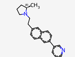 C[C@@H]1CCCN1CCc1ccc2cc(-c3cccnc3)ccc2c1